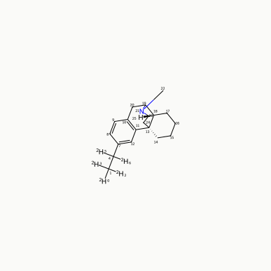 [2H]C([2H])([2H])C([2H])([2H])c1ccc2c(c1)[C@]13CCCC[C@H]1C(C2)N(C)CC3